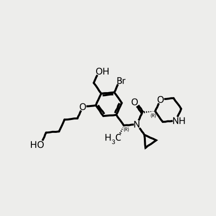 C[C@H](c1cc(Br)c(CO)c(OCCCCO)c1)N(C(=O)[C@H]1CNCCO1)C1CC1